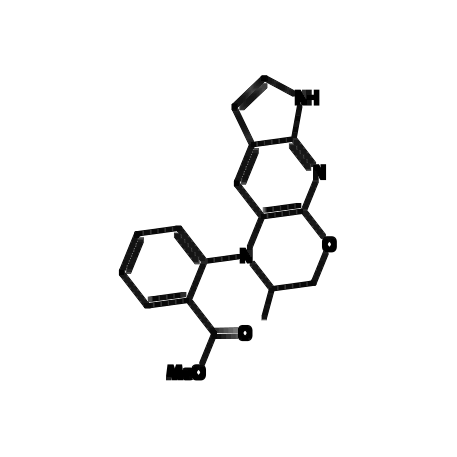 COC(=O)c1ccccc1N1c2cc3cc[nH]c3nc2OCC1C